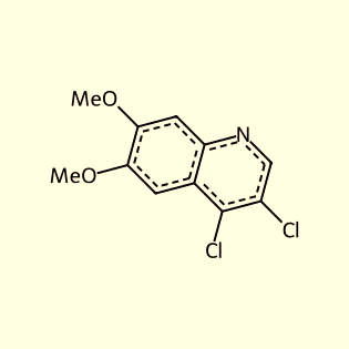 COc1cc2ncc(Cl)c(Cl)c2cc1OC